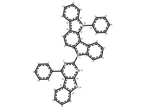 c1ccc(-c2nc(-n3c4ccccc4c4c3ccc3c5ccccc5n(-c5ccccc5)c34)nc3sc4ccccc4c23)cc1